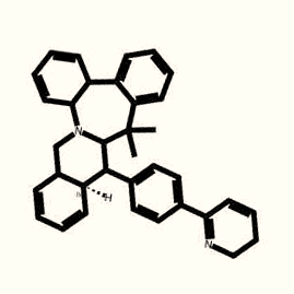 CC1(C)c2ccccc2C2C=CC=CC2N2CC3C=CC=C[C@@H]3C(c3ccc(C4=NCCC=C4)cc3)C21